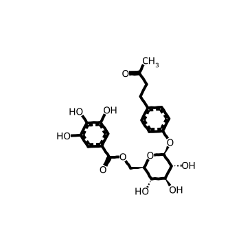 CC(=O)CCc1ccc(O[C@@H]2O[C@H](COC(=O)c3cc(O)c(O)c(O)c3)[C@@H](O)[C@H](O)[C@H]2O)cc1